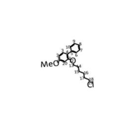 COc1ccc(-c2ccccc2)c(OCCCCCCCl)c1